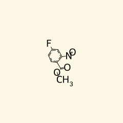 COC(=O)c1ccc(F)cc1N=O